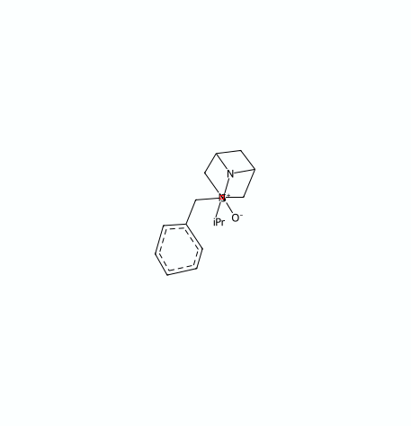 CC(C)N1CC2CC(C1)N2[S+]([O-])Cc1ccccc1